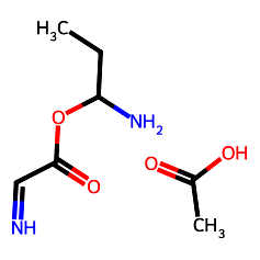 CC(=O)O.CCC(N)OC(=O)C=N